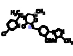 COc1cc(/C=C2\O[C@@H](C)CN([C@H](C)c3ccc(Cl)cn3)C2=O)ccc1-n1cnc(C)c1